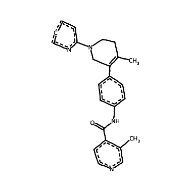 CC1=C(c2ccc(NC(=O)c3ccncc3C)cc2)CN(c2ccccn2)CC1